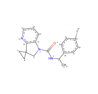 CC(NC(=O)N1CC2(CC2)c2ncccc21)c1ccc(F)cc1